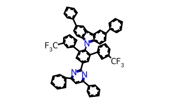 FC(F)(F)c1cccc(-c2cc(-c3nc(-c4ccccc4)cc(-c4ccccc4)n3)cc(-c3cccc(C(F)(F)F)c3)c2-n2c3ccc(-c4ccccc4)cc3c3cc(-c4ccccc4)ccc32)c1